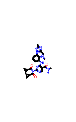 CNC(=O)c1cnc(N(C(=O)C2CC2)C(=O)C2CC2)nc1Nc1cccc2c1N(C)Cc1nc(C)nn1-2